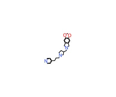 c1cc(CCCN2CCC(CN3Cc4cc5c(cc4C3)OCO5)C2)ccn1